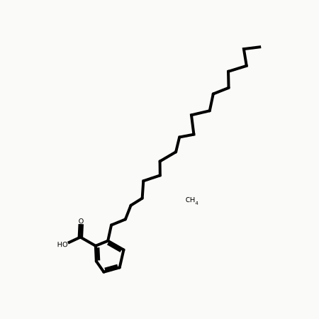 C.CCCCCCCCCCCCCCCCCCc1ccccc1C(=O)O